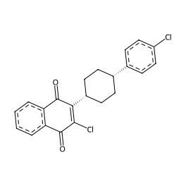 O=C1C(Cl)=C([C@H]2CC[C@@H](c3ccc(Cl)cc3)CC2)C(=O)c2ccccc21